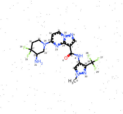 Cn1cc(NC(=O)c2cnn3ccc(N4CCC(F)(F)C(N)C4)nc23)c(C(F)(F)F)n1